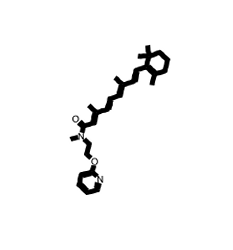 CC1=C(/C=C/C(C)=C/C=C/C(C)=C/C(=O)N(C)CCOc2ccccn2)C(C)(C)CCC1